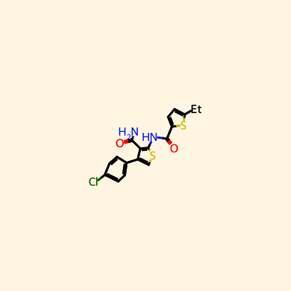 CCc1ccc(C(=O)Nc2scc(-c3ccc(Cl)cc3)c2C(N)=O)s1